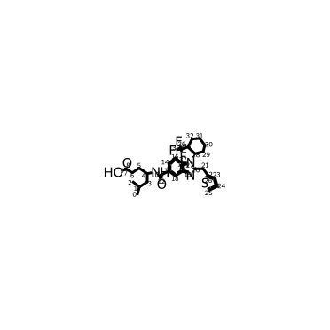 CC(C)CC(CCC(=O)O)NC(=O)c1ccc2c(c1)nc(Cc1cccs1)n2[C@@H]1CCCCC1C(F)(F)F